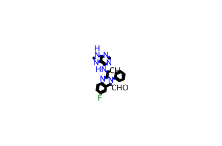 CC(Nc1ncnc2[nH]cnc12)C1=Nc2ccc(F)cc2[C@@H](C=O)N1c1ccccc1